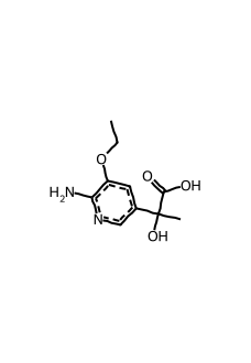 CCOc1cc(C(C)(O)C(=O)O)cnc1N